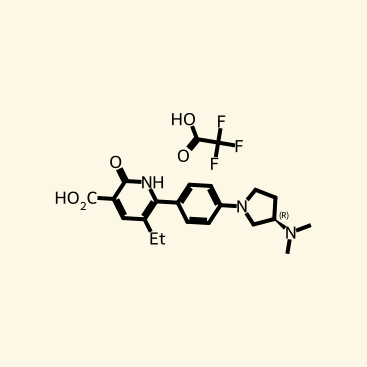 CCc1cc(C(=O)O)c(=O)[nH]c1-c1ccc(N2CC[C@@H](N(C)C)C2)cc1.O=C(O)C(F)(F)F